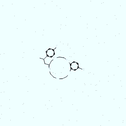 CC(C)c1ccc2c(c1)OCCOCCOC(CC(C)c1ccc(F)cc1)COCCO2